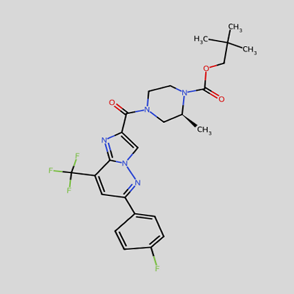 C[C@H]1CN(C(=O)c2cn3nc(-c4ccc(F)cc4)cc(C(F)(F)F)c3n2)CCN1C(=O)OCC(C)(C)C